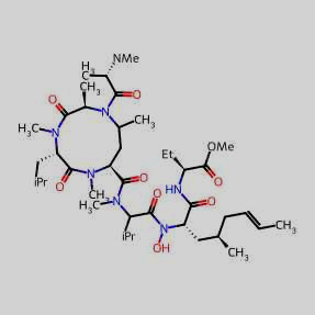 C/C=C/C[C@@H](C)C[C@@H](C(=O)N[C@@H](CC)C(=O)OC)N(O)C(=O)C(C(C)C)N(C)C(=O)[C@@H]1CC(C)N(C(=O)[C@H](C)NC)[C@H](C)C(=O)N(C)[C@@H](CC(C)C)C(=O)N1C